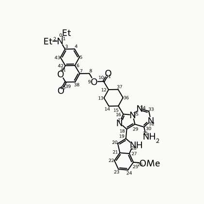 CCN(CC)c1ccc2c(COC(=O)C3CCC(c4nc(-c5cc6cccc(OC)c6[nH]5)c5c(N)ncnn45)CC3)cc(=O)oc2c1